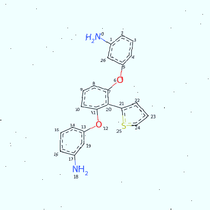 Nc1cccc(Oc2cccc(Oc3cccc(N)c3)c2-c2cccs2)c1